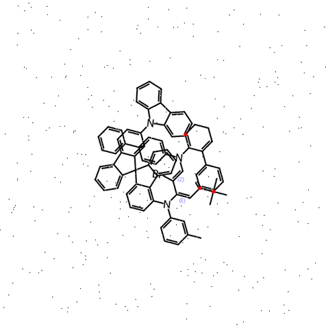 C=C(/C=C(\C(Br)=C\N(C1=CCCC=C1c1ccccc1)c1ccc(-c2ccccc2)cc1)N(c1cccc(C)c1)c1cccc2c1-c1ccccc1C21c2ccccc2-c2ccc(-n3c4ccccc4c4ccccc43)cc21)C(C)(C)C